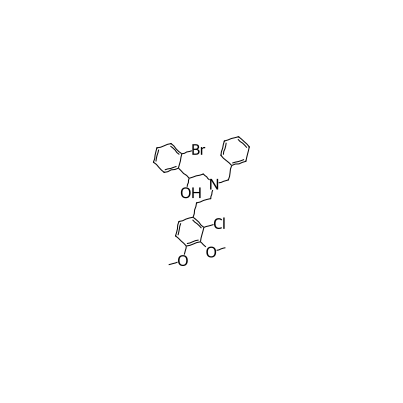 COc1ccc(CCN(Cc2ccccc2)CC(O)c2ccccc2Br)c(Cl)c1OC